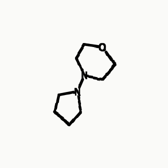 C1CCN(N2CCOCC2)C1